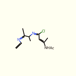 C=C/N=C(/C)C(C)/N=C(Cl)\C=C(/C)NC(C)=O